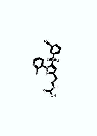 N#Cc1cccc(S(=O)(=O)c2cc(CCNC(=O)O)nn2-c2cccnc2F)c1